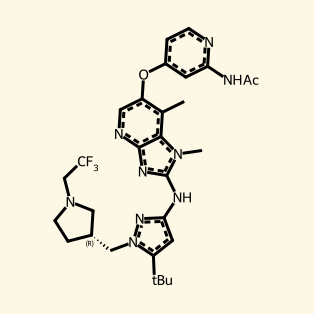 CC(=O)Nc1cc(Oc2cnc3nc(Nc4cc(C(C)(C)C)n(C[C@@H]5CCN(CC(F)(F)F)C5)n4)n(C)c3c2C)ccn1